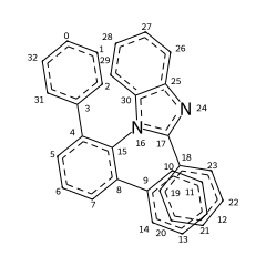 c1ccc(-c2cccc(-c3ccccc3)c2-n2c(-c3ccccc3)nc3ccccc32)cc1